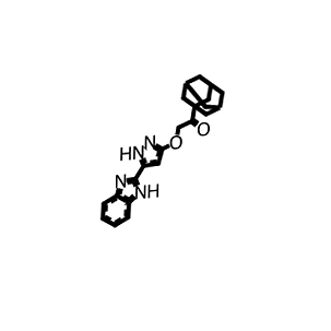 O=C(COc1cc(-c2nc3ccccc3[nH]2)[nH]n1)C12CC3CC(CC(C3)C1)C2